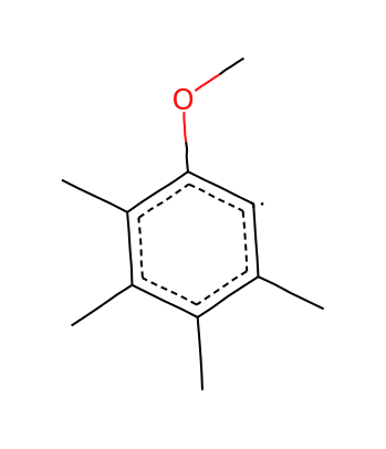 COc1[c]c(C)c(C)c(C)c1C